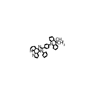 CC1(C)c2ccccc2N(c2ccc(-c3nc4c5cccnc5c5ncccc5c4n3-c3ccccc3)cc2)c2ccccc21